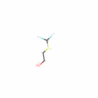 OCCSC(F)F